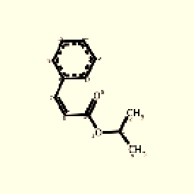 CC(C)OC(=O)/C=C\c1ccccc1